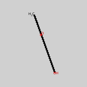 CCCCCCCCC=CCCCCCCCCCC(=O)OCCCCCCCCCCCCCCCCCCCCCCCCCCCCCCCCCCCO